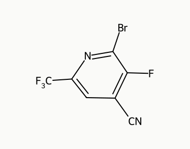 N#Cc1cc(C(F)(F)F)nc(Br)c1F